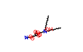 CCCCCCCCCCCCCCN(CCCCC(=O)Oc1c(OC)cc(/C=C/C(=O)OCCCN(C)C)cc1OC)CC(O)CCCCCCCCCCCC